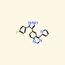 Fc1ccc(-c2n[nH]cc2-c2ccc3ncnc(-c4ccccn4)c3c2)cc1